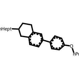 CCCCCCCC1CCc2cc(-c3ccc(OCCC)cc3)ccc2C1